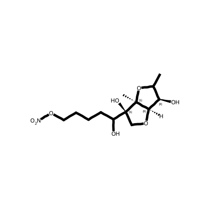 CC1O[C@@]2(C)[C@H](OC[C@]2(O)C(O)CCCCO[N+](=O)[O-])[C@@H]1O